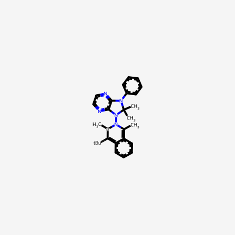 CB1C(C(C)(C)C)=c2ccccc2=C(C)N1N1c2nccnc2N(c2ccccc2)C1(C)C